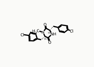 CN1C(=O)[C@H](Cc2ccc(Cl)cc2)NC(=O)[C@@H]1Cc1ccc(Cl)cc1